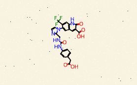 O=C(O)Cc1ccc(NC(=O)NCc2nccn2-c2cc3cc(C(=O)O)c(=O)[nH]c3cc2C(F)(F)F)cc1